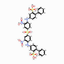 O=[N+]([O-])c1cc(S(=O)(=O)c2ccc(Nc3ccc(-c4ccccc4)c(S(=O)(=O)O)c3)c([N+](=O)[O-])c2)ccc1Nc1ccc(-c2ccccc2)c(S(=O)(=O)O)c1